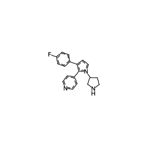 Fc1ccc(-c2ccn(C3CCNC3)c2-c2ccncc2)cc1